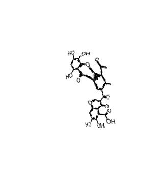 CC(=O)c1c(C)c(C(=O)c2coc3cc(O)c(O)c(C(=O)O)c3c2=O)cc2c(=O)c3c(O)cc(O)c(O)c3oc12